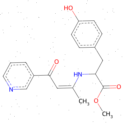 COC(=O)C(Cc1ccc(O)cc1)N/C(C)=C\C(=O)c1cccnc1